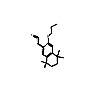 CCCOc1cc2c(cc1CC=O)C(C)(C)CCC2(C)C